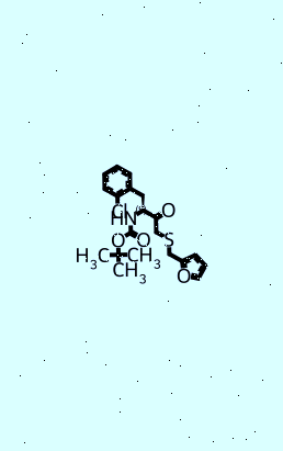 CC(C)(C)OC(=O)N[C@@H](Cc1ccccc1Cl)C(=O)CSCc1ccco1